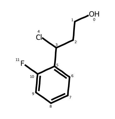 OCCC(Cl)c1ccccc1F